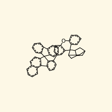 c1ccc2c(c1)Oc1ccc(-c3cccc4c3C3(c5ccccc5-c5ccccc53)c3ccc5ccccc5c3-4)cc1C21C2CC3CC(C2)C1C3